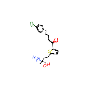 CC(N)(CO)CCc1ccc(C(=O)CCCCc2ccc(Cl)cc2)s1